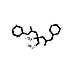 CC(CC1CCCCC1)CC(CC(=O)O)(CC(C)CC1CCCCC1)C(=O)O